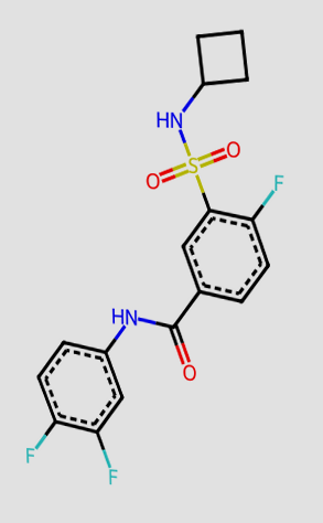 O=C(Nc1ccc(F)c(F)c1)c1ccc(F)c(S(=O)(=O)NC2CCC2)c1